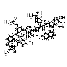 CC(C)[C@@H](NC(=O)[C@H](CCCNC(=N)N)NC(=O)[C@@H](Cc1ccc(O)cc1)NC(=O)[C@@H]1CCCN1C(=O)CNC(=O)CN)C(=O)NCCC(=O)N[C@@H](CCCNC(=N)N)C(=O)N[C@@H](Cc1ccc2ccccc2c1)C(=O)N1CCC[C@H]1C(=O)O